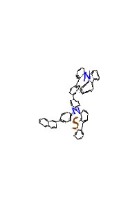 c1ccc(-n2c3ccccc3c3ccccc32)c(-c2ccc(-c3ccc(N(c4ccc(-c5ccc6ccccc6c5)cc4)c4cccc5c4sc4ccccc45)cc3)cc2)c1